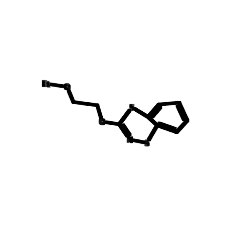 CCOCCOC1=NSc2ccccc2S1